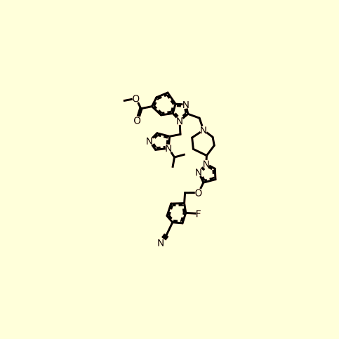 COC(=O)c1ccc2nc(CN3CCC(n4ccc(OCc5ccc(C#N)cc5F)n4)CC3)n(Cc3cncn3C(C)C)c2c1